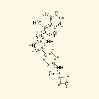 C[C@@H](OC(O)Nc1c(-c2ccc(NC(=O)C3COC3)cn2)nnn1C)c1cccnc1Cl